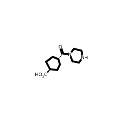 O=C(O)[C@H]1CC[C@H](C(=O)N2CCNCC2)CC1